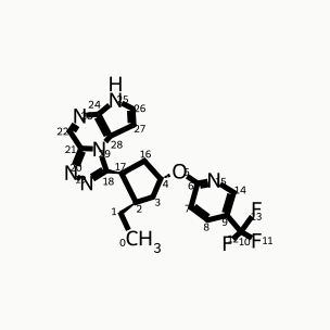 CC[C@@H]1C[C@@H](Oc2ccc(C(F)(F)F)cn2)C[C@@H]1c1nnc2cnc3[nH]ccc3n12